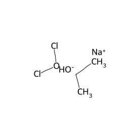 CCC.ClOCl.[Na+].[OH-]